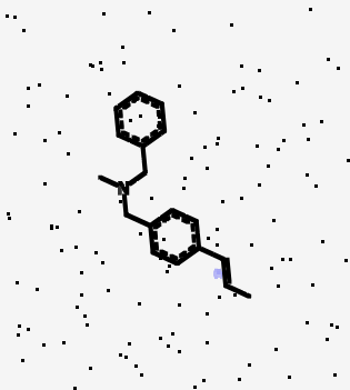 C/C=C/c1ccc(CN(C)Cc2ccccc2)cc1